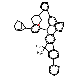 CC1(C)c2cc(-c3ccccc3)ccc2-c2cc(-c3ccccc3)c(N(c3ccc(C4CC5CCC4C5)cc3)c3cccc(-c4ccccc4C4CCCCC4)c3)cc21